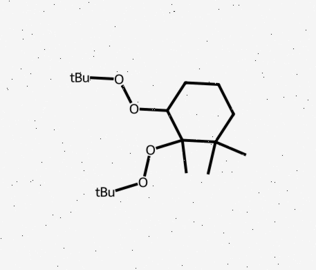 CC(C)(C)OOC1CCCC(C)(C)C1(C)OOC(C)(C)C